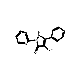 CCCc1c(-c2ccccc2)[nH]n(-c2ccccn2)c1=O